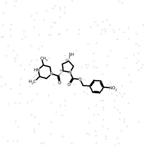 CC1CN(C(=O)[C@@H]2C[C@H](S)CN2C(=O)OCc2ccc([N+](=O)[O-])cc2)CC(C)N1